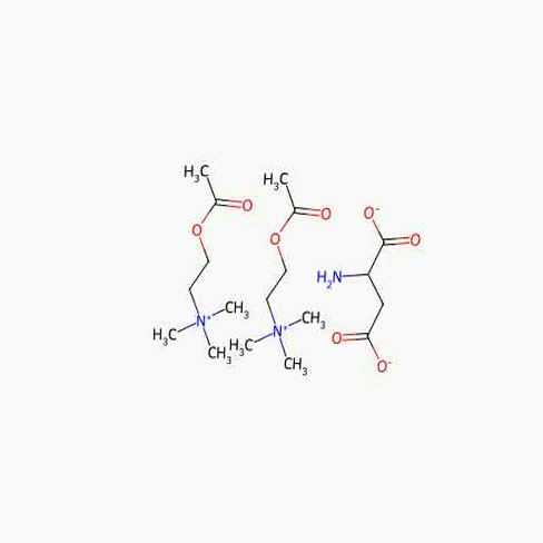 CC(=O)OCC[N+](C)(C)C.CC(=O)OCC[N+](C)(C)C.NC(CC(=O)[O-])C(=O)[O-]